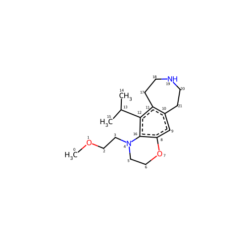 COCCN1CCOc2cc3c(c(C(C)C)c21)CCNCC3